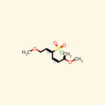 C=C(/C=C\C(=C/COC)S(=O)(=O)Cl)OC